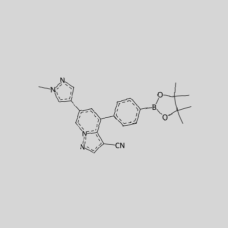 Cn1cc(-c2cc(-c3ccc(B4OC(C)(C)C(C)(C)O4)cc3)c3c(C#N)cnn3c2)cn1